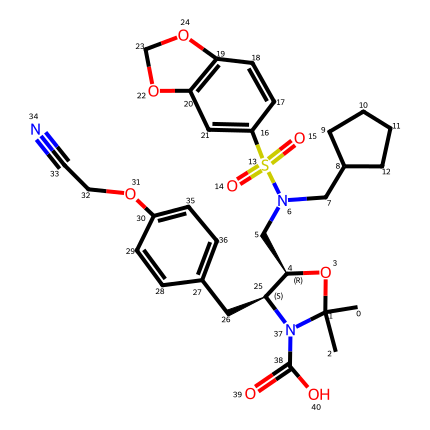 CC1(C)O[C@H](CN(CC2CCCC2)S(=O)(=O)c2ccc3c(c2)OCO3)[C@H](Cc2ccc(OCC#N)cc2)N1C(=O)O